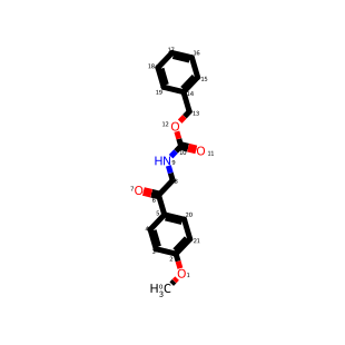 COc1ccc(C(=O)CNC(=O)OCc2ccccc2)cc1